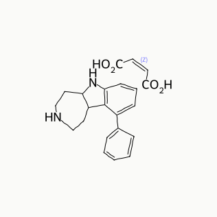 O=C(O)/C=C\C(=O)O.c1ccc(-c2cccc3c2C2CCNCCC2N3)cc1